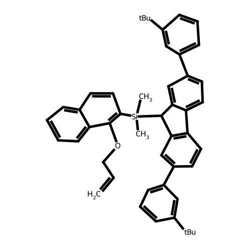 C=CCOc1c([Si](C)(C)C2c3cc(-c4cccc(C(C)(C)C)c4)ccc3-c3ccc(-c4cccc(C(C)(C)C)c4)cc32)ccc2ccccc12